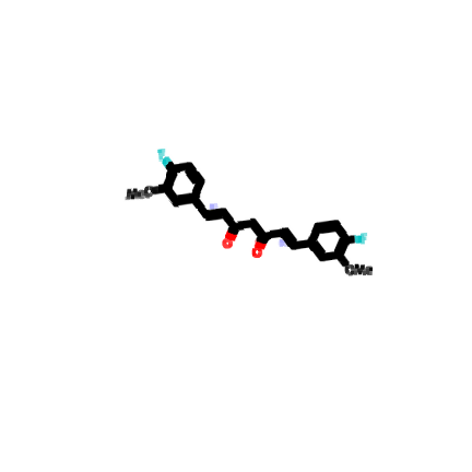 COc1cc(/C=C/C(=O)CC(=O)/C=C/c2ccc(F)c(OC)c2)ccc1F